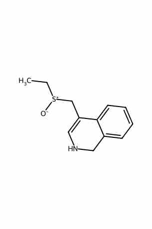 CC[S+]([O-])CC1=CNCc2ccccc21